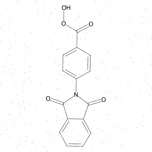 O=C(OO)c1ccc(N2C(=O)c3ccccc3C2=O)cc1